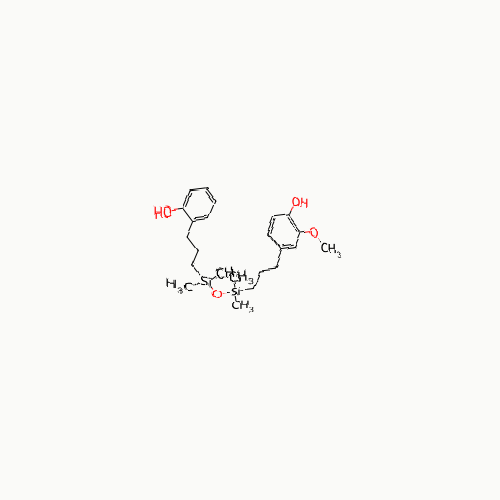 COc1cc(CCC[Si](C)(C)O[Si](C)(C)CCCc2ccccc2O)ccc1O